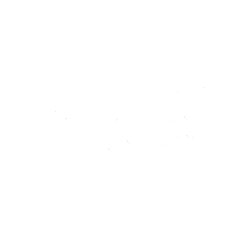 CS(=O)(=O)N1CN(C(=O)CO)c2ccc(Cn3ccc(OCc4ccc(F)cc4F)c(Cl)c3=O)cc21